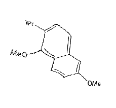 COc1ccc2c(OC)c(C(C)C)ccc2c1